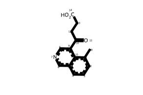 Cc1cccc2cncc(C(=O)CCC(=O)O)c12